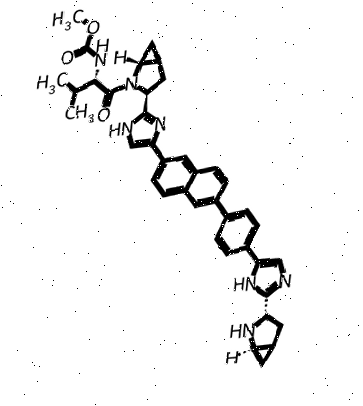 COC(=O)N[C@H](C(=O)N1[C@@H]2CC2C[C@H]1c1nc(-c2ccc3cc(-c4ccc(-c5cnc([C@@H]6CC7C[C@H]7N6)[nH]5)cc4)ccc3c2)c[nH]1)C(C)C